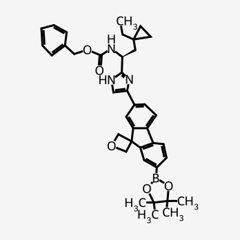 CCC1(C[C@H](NC(=O)OCc2ccccc2)c2nc(-c3ccc4c(c3)C3(COC3)c3cc(B5OC(C)(C)C(C)(C)O5)ccc3-4)c[nH]2)CC1